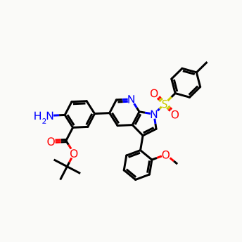 COc1ccccc1-c1cn(S(=O)(=O)c2ccc(C)cc2)c2ncc(-c3ccc(N)c(C(=O)OC(C)(C)C)c3)cc12